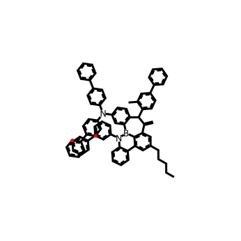 C=C1c2cc(CCCCC)cc3c2B(c2cc(N(c4ccc(-c5ccccc5)cc4)c4ccc(-c5ccccc5)cc4)ccc2C1c1ccc(-c2ccccc2)cc1C)N(c1cccc(-c2ccccc2)c1)c1ccccc1-3